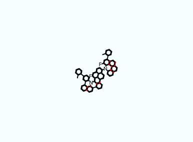 Cc1ccccc1-c1cc(F)c(N(c2ccccc2-c2ccccc2)c2ccc3ccc4c(N(c5ccccc5-c5ccccc5)c5c(F)cc(-c6ccccc6C)cc5-c5ccccc5C)ccc5ccc2c3c54)c(-c2ccccc2C)c1